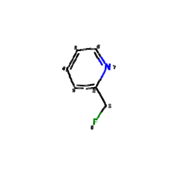 FCc1c[c]ccn1